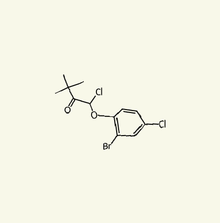 CC(C)(C)C(=O)C(Cl)Oc1ccc(Cl)cc1Br